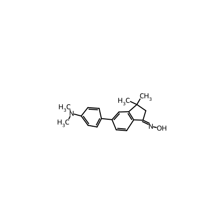 CN(C)c1ccc(-c2ccc3c(c2)C(C)(C)CC3=NO)cc1